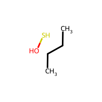 CCCC.OS